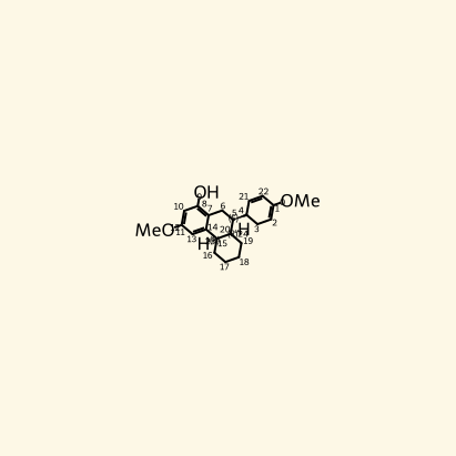 COC1=CCC([C@@H]2Cc3c(O)cc(OC)cc3[C@@H]3CCCC[C@@H]32)C=C1